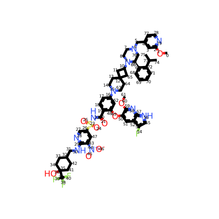 COc1cc(CN2CCN(C3CC4(CCN(c5ccc(C(=O)NS(=O)(=O)c6cnc(NCC7CCC(O)(C(F)(F)F)CC7)c([N+](=O)[O-])c6)c(Oc6cc7c(F)c[nH]c7nc6OC)c5)CC4)C3)[C@H](c3ccccc3C(C)C)C2)ccn1